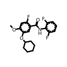 COc1cc(F)c(C(=O)Nc2c(F)cccc2F)cc1OC1CCCCC1